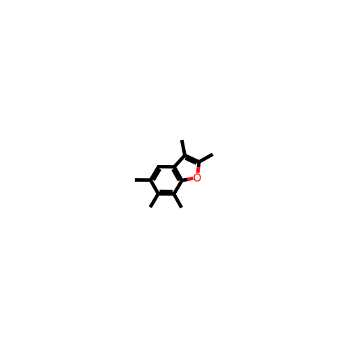 Cc1cc2c(C)c(C)oc2c(C)c1C